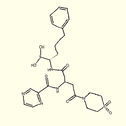 O=C(NC(CC(=O)N1CCS(=O)(=O)CC1)C(=O)N[C@@H](CCCc1ccccc1)B(O)O)c1cnccn1